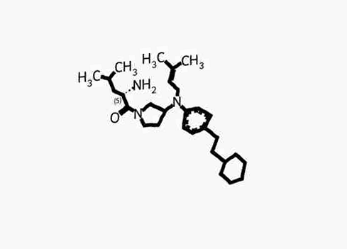 CC(C)=CCN(c1ccc(CCC2CCCCC2)cc1)C1CCN(C(=O)[C@@H](N)CC(C)C)C1